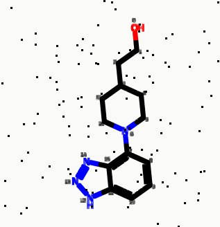 OCCC1CCN(c2cccc3[nH]nnc23)CC1